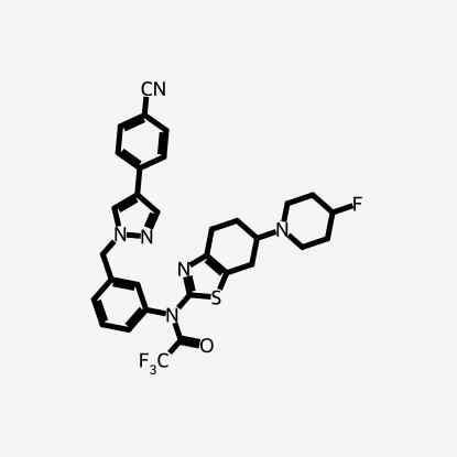 N#Cc1ccc(-c2cnn(Cc3cccc(N(C(=O)C(F)(F)F)c4nc5c(s4)CC(N4CCC(F)CC4)CC5)c3)c2)cc1